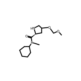 COCOC1CN[C@H](C(=O)N(C)C2CCCCC2)C1